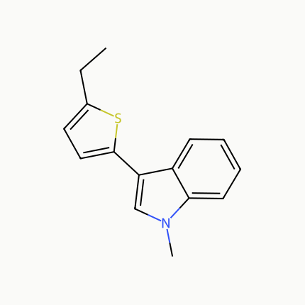 CCc1ccc(-c2cn(C)c3ccccc23)s1